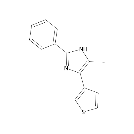 Cc1[nH]c(-c2ccccc2)nc1-c1ccsc1